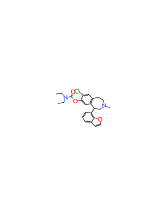 CCN(CC)C(=O)Oc1cc2c(cc1Cl)CCN(C)CC2c1cccc2ccoc12